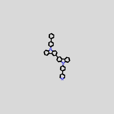 c1ccc(-c2ccc(-n3c4ccccc4c4cc(-c5ccc6c(c5)c5ccccc5n6-c5ccc(-c6ccncc6)cc5)ccc43)cc2)cc1